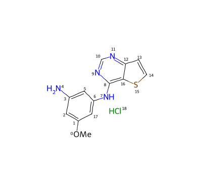 COc1cc(N)cc(Nc2ncnc3ccsc23)c1.Cl